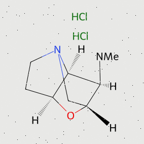 CN[C@@H]1[C@H]2[C@@H]3CCN2C[C@H]1O3.Cl.Cl